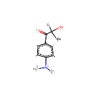 CCCCC(O)(CC)C(=O)c1ccc(N(C)C)cc1